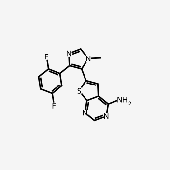 Cn1cnc(-c2cc(F)ccc2F)c1-c1cc2c(N)ncnc2s1